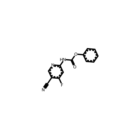 N#Cc1cnc(NC(=O)Oc2ccccc2)cc1F